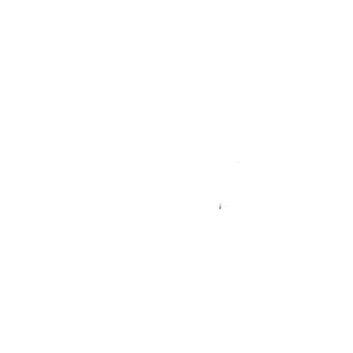 CC(C)CC=CC=[C](C(C)C)[Ta]([CH3])([CH3])([CH3])[CH3]